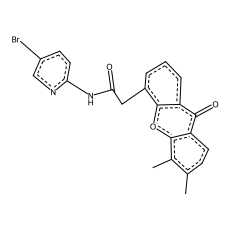 Cc1ccc2c(=O)c3cccc(CC(=O)Nc4ccc(Br)cn4)c3oc2c1C